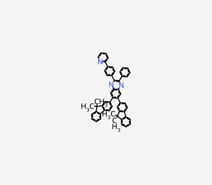 CC1(C)c2ccccc2-c2ccc(-c3cc4nc(-c5ccccc5)c(-c5ccc(-c6ccccn6)cc5)nc4cc3-c3ccc4c(c3)C(C)(C)c3ccccc3-4)cc21